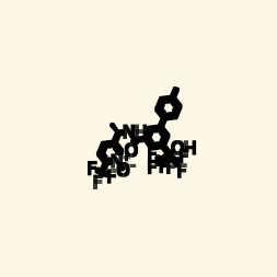 Cc1ccc(-c2cc(C(=O)N[C@H](C)c3ccc(C(F)(F)F)[n+]([O-])c3)cc(C(O)(C(F)(F)F)C(F)(F)F)c2)cc1